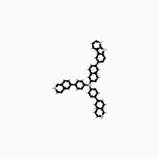 c1cnc2oc3ccc(-c4ccc5cc(N(c6ccc(-c7ccc8cnccc8c7)cc6)c6ccc(-c7ccc8cnccc8c7)cc6)ccc5c4)cc3c2c1